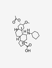 CO[C@H]1C[C@@]2(C)[C@H](CC[C@@H]3[C@@H]2[C@H](NC2CCCCC2)C[C@]2(C)[C@@H](C(=O)O)CC[C@@H]32)C[C@@H]1OC(C)=O